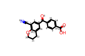 N#Cc1cc(C(=O)c2ccc(C(=O)O)cc2)cc2c1OCCC2